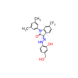 Cc1cc(C)cc(N2C(=O)/C(=N\Nc3ccc(CO)cc3O)c3ccc(C(F)(F)F)cc32)c1